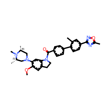 COc1cc2c(cc1N1C[C@@H](C)N(C)[C@@H](C)C1)N(C(=O)c1ccc(-c3ccc(-c4noc(C)n4)cc3C)cc1)CC2